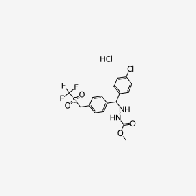 COC(=O)NNC(c1ccc(Cl)cc1)c1ccc(CS(=O)(=O)C(F)(F)F)cc1.Cl